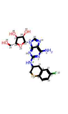 Nc1nc(NC2CSc3ccc(F)cc3C2)nc2c1ncn2[C@@H]1O[C@H](CO)[C@@H](O)[C@H]1O